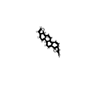 Fc1cc2ccc3c4ccc5c(ccc6ccoc65)c4ccc3c2o1